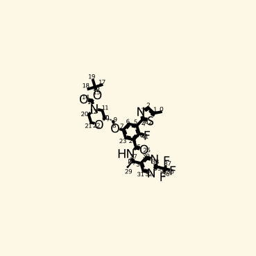 Cc1cnc(-c2cc(OC[C@H]3CN(C(=O)OC(C)(C)C)CCO3)cc(C(=O)N[C@H](C)c3cnc(C(F)(F)F)nc3)c2F)s1